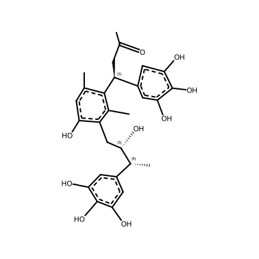 CC(=O)C[C@@H](c1cc(O)c(O)c(O)c1)c1c(C)cc(O)c(C[C@H](O)[C@H](C)c2cc(O)c(O)c(O)c2)c1C